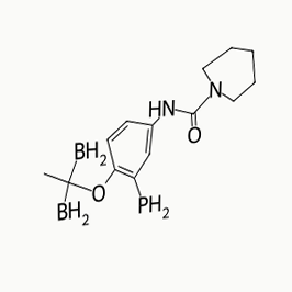 BC(B)(C)Oc1ccc(NC(=O)N2CCCCC2)cc1P